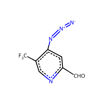 [N-]=[N+]=Nc1cc(C=O)ncc1C(F)(F)F